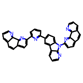 c1cc(-c2ccc3c(c2)c2cccnc2n3-c2ccc3ccc4cccnc4c3n2)nc(-c2ccc3ccc4cccnc4c3n2)c1